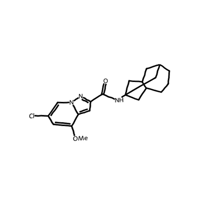 COc1cc(Cl)cn2nc(C(=O)NC34CC5CCCC(C3)C(C5)C4)cc12